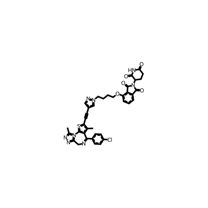 Cc1c(C#Cc2cnn(CCCCOc3cccc4c3C(=O)N(C3CCC(=O)NC3=O)C4=O)c2)sc2c1C(c1ccc(Cl)cc1)=NCc1nnc(C)n1-2